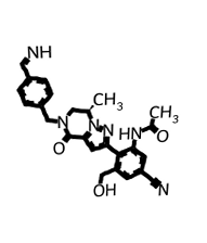 CC(=O)Nc1cc(C#N)cc(CO)c1-c1cc2n(n1)[C@@H](C)CN(Cc1ccc(C=N)cc1)C2=O